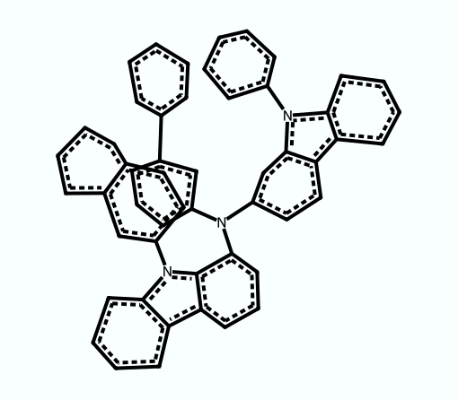 c1ccc(-c2cccc(N(c3ccc4c5ccccc5n(-c5ccccc5)c4c3)c3cccc4c5ccccc5n(-c5ccc6ccccc6c5)c34)c2)cc1